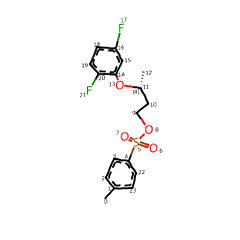 Cc1ccc(S(=O)(=O)OCC[C@@H](C)Oc2cc(F)ccc2F)cc1